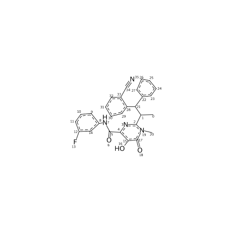 CC(c1nc(C(=O)Nc2cccc(F)c2)c(O)c(=O)n1C)C(c1ccccc1)c1ccccc1C#N